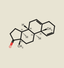 C[C@]12C=CCCC1=CC[C@@H]1[C@@H]2CC[C@]2(C)C(=O)CC[C@@H]12